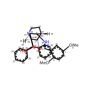 COc1ccc(OC)c(CN[C@@H]2[C@@H]3CCN([C@H](CO)C3)[C@@H]2C(c2ccccc2)c2ccccc2)c1